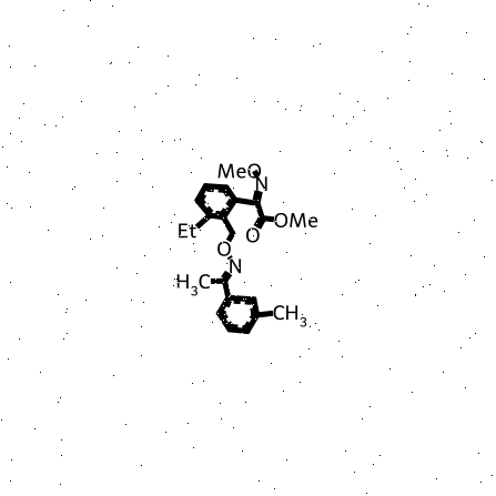 CCc1cccc(/C(=N\OC)C(=O)OC)c1CO/N=C(\C)c1cccc(C)c1